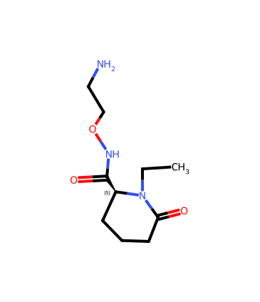 CCN1C(=O)CCC[C@H]1C(=O)NOCCN